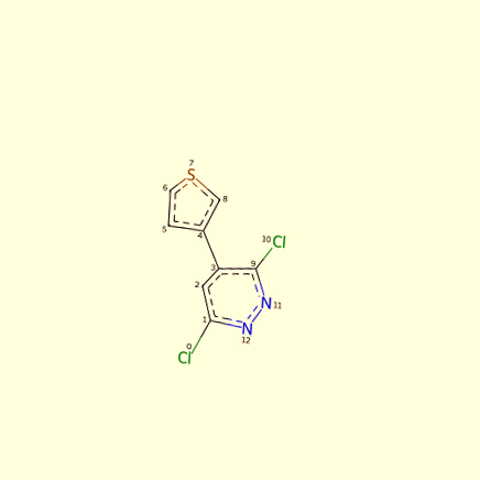 Clc1cc(-c2ccsc2)c(Cl)nn1